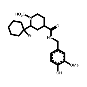 CCC1(C2CC(C(=O)NCc3ccc(O)c(OC)c3)CCN2C(=O)O)CCCCC1